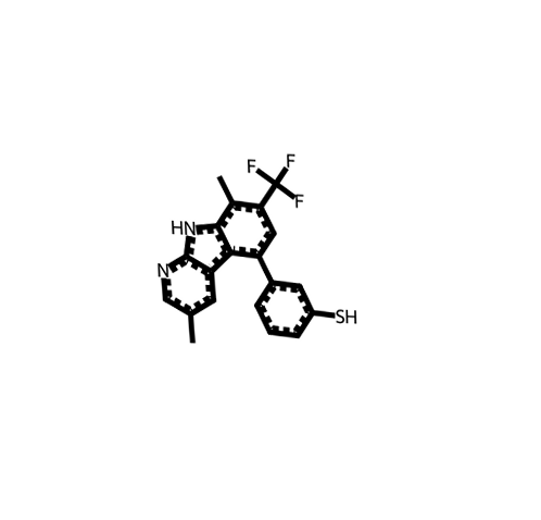 Cc1cnc2[nH]c3c(C)c(C(F)(F)F)cc(-c4cccc(S)c4)c3c2c1